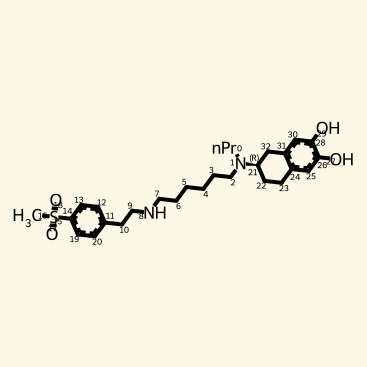 CCCN(CCCCCCNCCc1ccc(S(C)(=O)=O)cc1)[C@@H]1CCc2cc(O)c(O)cc2C1